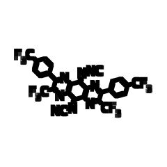 [C-]#[N+]N=C1c2nc(-c3ccc(C(F)(F)F)cc3)c(C(F)(F)F)nc2C(=NC#N)c2nc(C(F)(F)F)c(-c3ccc(C(F)(F)F)cc3)nc21